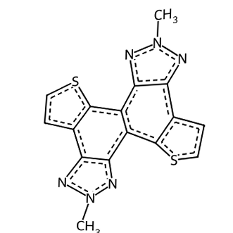 Cn1nc2c3ccsc3c3c4nn(C)nc4c4ccsc4c3c2n1